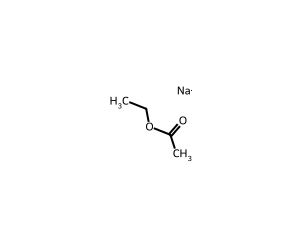 CCOC(C)=O.[Na]